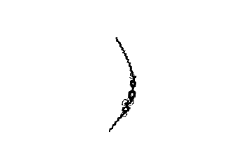 CCCCCCCCCCCCCCCCCCCOC(C)c1ccc(-c2ccc(OC(=O)c3ccc(OCCCCCCCCCC)cc3)cc2)cc1